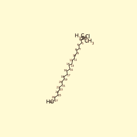 C[Si](C)(Cl)CCCCCCCCCCCCCCCCCCCCCCCCO